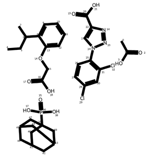 CC(=O)O.CCC(C)c1ccccc1OCC(=O)O.O=C(O)c1cn(-c2ccc(Cl)cc2Cl)nn1.O=P(O)(O)C12CC3CC(CC(C3)C1)C2